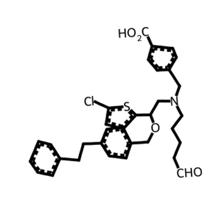 O=CCCCCN(Cc1ccc(C(=O)O)cc1)CC(OCc1ccc(CCc2ccccc2)cc1)c1ccc(Cl)s1